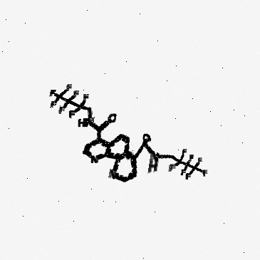 O=C(NCC(F)(F)C(F)(F)C(F)(F)F)c1ccnc2c1ccc1c(C(=O)NCC(F)(F)C(F)(F)C(F)(F)F)ccnc12